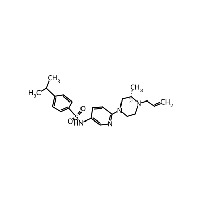 C=CCN1CCN(c2ccc(NS(=O)(=O)c3ccc(C(C)C)cc3)cn2)C[C@@H]1C